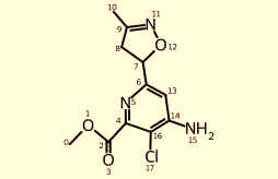 COC(=O)c1nc(C2CC(C)=NO2)cc(N)c1Cl